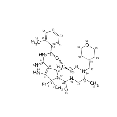 CCC1(C)c2[nH]nc(NC(=O)c3ccccc3C)c2CN1C(=O)N1CC(C)N(CC2CCOCC2)C[C@@H]1C